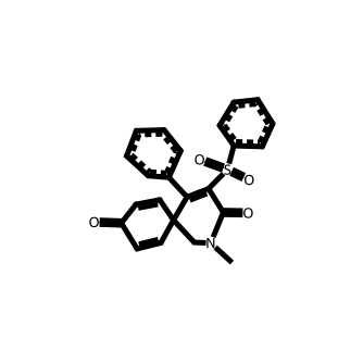 CN1CC2(C=CC(=O)C=C2)C(c2ccccc2)=C(S(=O)(=O)c2ccccc2)C1=O